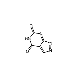 O=C1N=C2N=NC=C2C(=O)N1